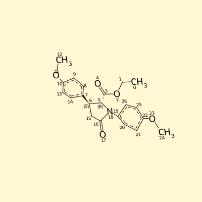 CCOC(=O)[C@H]1[C@H](c2ccc(OC)cc2)CC(=O)N1c1ccc(OC)cc1